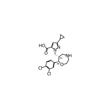 O=C(O)c1cc(C2CC2)nn1C[C@@H]1CNCCO[C@H]1c1ccc(Cl)c(Cl)c1